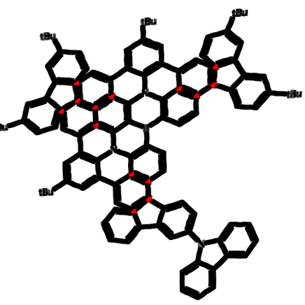 CC(C)(C)c1cc(-c2ccccc2)c(N2c3cc(-n4c5ccccc5c5cc(-n6c7ccccc7c7ccccc76)ccc54)ccc3B3c4ccc(-n5c6ccc(C(C)(C)C)cc6c6cc(C(C)(C)C)ccc65)cc4N(c4c(-c5ccccc5)cc(C(C)(C)C)cc4-c4ccccc4)c4cc(-n5c6ccc(C(C)(C)C)cc6c6cc(C(C)(C)C)ccc65)cc2c43)c(-c2ccccc2)c1